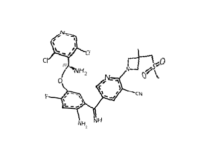 CC1(CS(C)(=O)=O)CN(c2ncc(C(=N)c3cc(O[C@H](N)c4c(Cl)cncc4Cl)c(F)cc3N)cc2C#N)C1